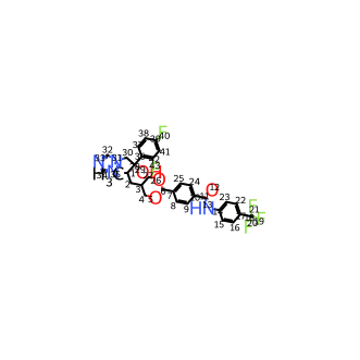 CC(CC1COC(c2ccc(C(=O)Nc3ccc(C(F)(F)F)cc3)cc2)OC1)C(O)(Cn1cncn1)c1ccc(F)cc1F